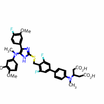 COc1cc(-c2nc(SCc3c(F)cc(-c4ccc(N(C)C(CC(=O)O)CC(=O)O)cc4)cc3F)[nH]c2N(C)c2ccc(OC)c(OC)c2)ccc1F